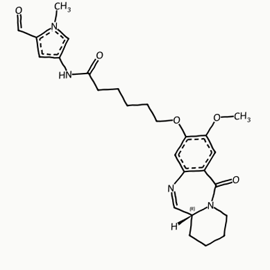 COc1cc2c(cc1OCCCCCC(=O)Nc1cc(C=O)n(C)c1)N=C[C@H]1CCCCN1C2=O